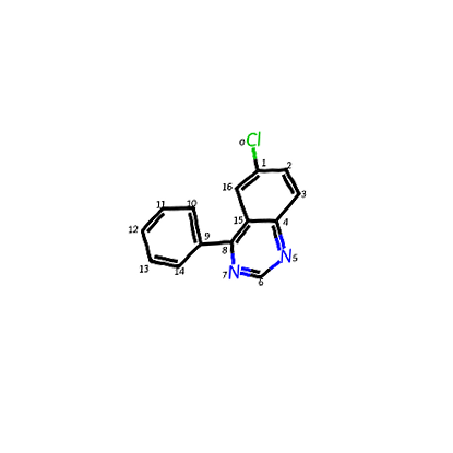 Clc1ccc2ncnc(-c3ccccc3)c2c1